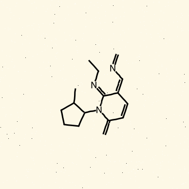 C=N/C=c1/ccc(=C)n(C2CCCC2C)/c1=N/CC